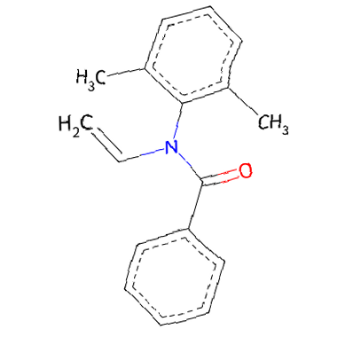 C=CN(C(=O)c1ccccc1)c1c(C)cccc1C